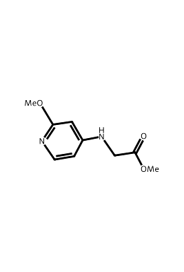 COC(=O)CNc1ccnc(OC)c1